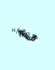 Cc1cc(=O)n(-c2ccc(N3CCC(Cc4ccc5c(c4)OCO5)CC3)c(Cl)c2)c(C)n1